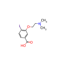 CN(C)CCOc1cc(C(=O)O)ccc1I